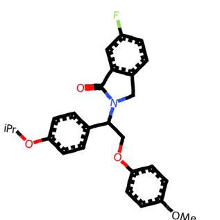 COc1ccc(OCC(c2ccc(OC(C)C)cc2)N2Cc3ccc(F)cc3C2=O)cc1